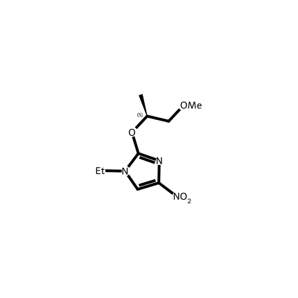 CCn1cc([N+](=O)[O-])nc1O[C@@H](C)COC